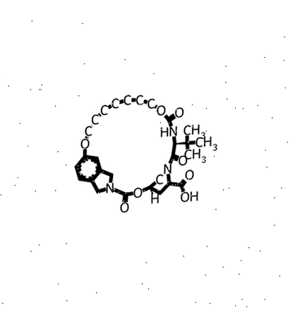 CC(C)(C)[C@@H]1NC(=O)OCCCCCCCOc2ccc3c(c2)CN(C3)C(=O)O[C@@H]2CC(C(=O)O)N(C2)C1=O